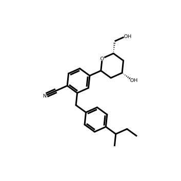 CCC(C)c1ccc(Cc2cc(C3C[C@@H](O)C[C@@H](CO)O3)ccc2C#N)cc1